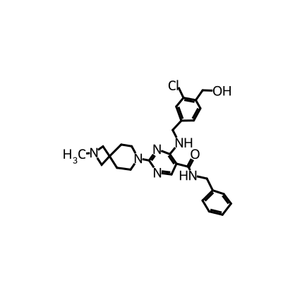 CN1CC2(CCN(c3ncc(C(=O)NCc4ccccc4)c(NCc4ccc(CO)c(Cl)c4)n3)CC2)C1